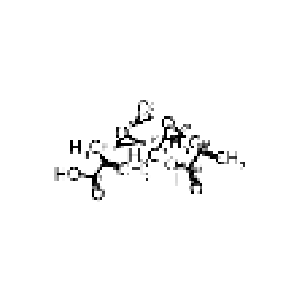 C1CO1.C1CO1.C=C(C)C(=O)O.C=C(C)C(=O)O.CC1CO1